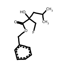 CC(C)CC(O)(CF)C(=O)OCc1ccccc1